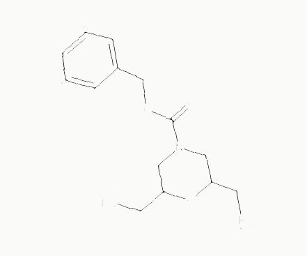 O=C(OCc1ccccc1)N1CC([CH2][Hg])OC([CH2][Hg])C1